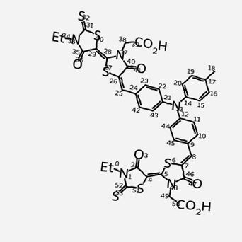 CCN1C(=O)/C(=c2\sc(=Cc3ccc(N(c4ccc(C)cc4)c4ccc(/C=c5/s/c(=C6/SC(=S)N(CC)C6=O)n(CC(=O)O)c5=O)cc4)cc3)c(=O)n2CC(=O)O)SC1=S